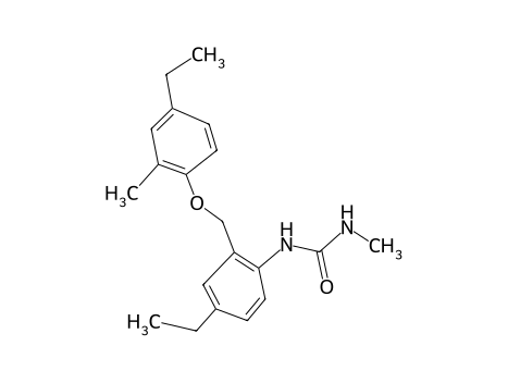 CCc1ccc(OCc2cc(CC)ccc2NC(=O)NC)c(C)c1